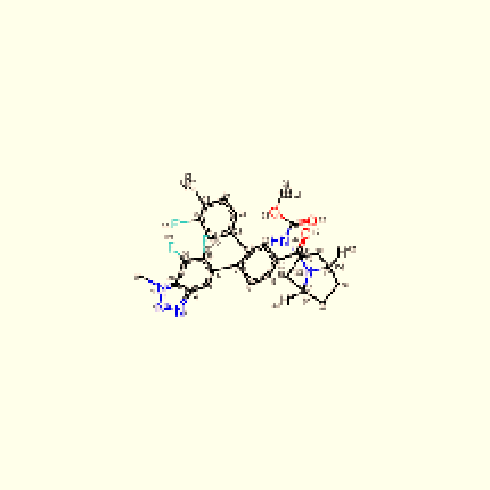 Cn1nnc2cc(-c3ccc(C(=O)N4[C@@H]5CC[C@H]4C[C@@H](NC(=O)OC(C)(C)C)C5)cc3-c3ccc(C#N)c(F)c3)c(F)c(F)c21